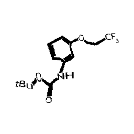 CC(C)(C)OC(=O)Nc1cccc(OCC(F)(F)F)c1